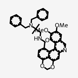 COc1cc2cnc3cc4c5c(ccc(C(=O)NCC(C)(C)N(Cc6ccccc6)Cc6ccccc6)c5c3c2cc1OC)OCO4